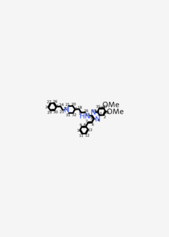 COc1cc2nc(C=Cc3ccccc3)c(NCCCC3CCN(CCc4ccccc4)CC3)nc2cc1OC